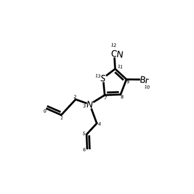 C=CCN(CC=C)c1cc(Br)c(C#N)s1